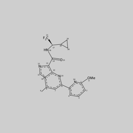 COc1cccc(-c2cc(C)n3cnc(C(=O)N[C@H](C4CC4)C(F)(F)F)c3n2)n1